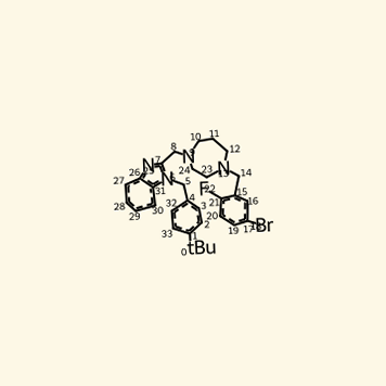 CC(C)(C)c1ccc(Cn2c(CN3CCCN(Cc4cc(Br)ccc4F)CC3)nc3ccccc32)cc1